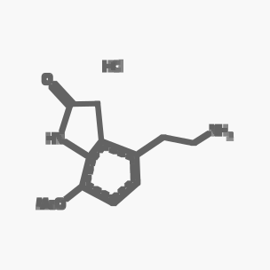 COc1ccc(CCN)c2c1NC(=O)C2.Cl